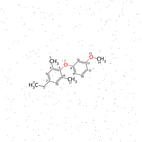 C[CH]c1cc(C)c(Oc2cccc(OC)c2)c(C)c1